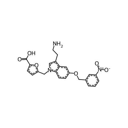 NCCc1cn(Cc2ccc(C(=O)O)o2)c2ccc(OCc3cccc([N+](=O)[O-])c3)cc12